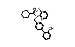 N#Cc1ccccc1-c1ccc(CN(C(=O)C2CCCCC2)c2ncccc2[N+](=O)[O-])cc1